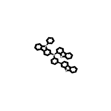 c1ccc(-n2c3ccccc3c3ccc(N(c4cccc(-c5ccc6c(c5)sc5ccccc56)c4)c4cccc5c4oc4ccccc45)cc32)cc1